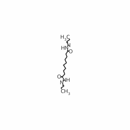 CCC=NNC(=O)CCCCCCCCC(=O)NN=CCC